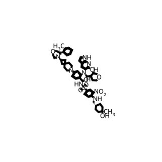 Cc1ccccc1[C@@H]1COCCN1C1CC2(CCN(c3ccc(C(=O)NS(=O)(=O)c4ccc(NC[C@H]5CC[C@](C)(O)CC5)c([N+](=O)[O-])c4)c(N4C[C@@H]5CCOC[C@H]5Oc5nc6[nH]ccc6cc54)c3)CC2)C1